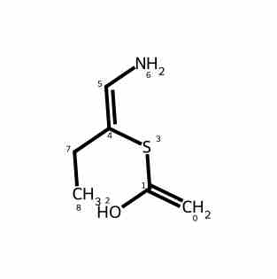 C=C(O)S/C(=C\N)CC